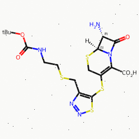 CC(C)(C)OC(=O)NCCSCc1nnsc1SC1=C(C(=O)O)N2C(=O)[C@@H](N)[C@@H]2SC1